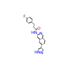 O=C(CCc1ccc(F)cc1)Nc1cc2cc(-c3cn[nH]c3)ccc2cn1